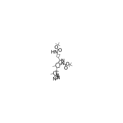 Cc1cc2c(C3CC(NC(=O)OC(C)(C)C)C3)nn(C(=O)OC(C)(C)C)c2cc1-c1cc(C)c2ncnn2c1